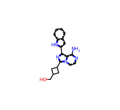 Nc1nccn2c(C3CC(CO)C3)nc(-c3cc4ccccc4[nH]3)c12